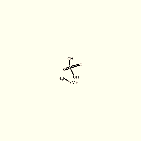 CSN.O=S(=O)(O)O